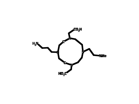 CNCCN1CCN(CC(=O)O)CCN(CCCN)CCN(CC(=O)O)CC1